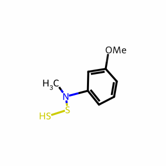 COc1cccc(N(C)SS)c1